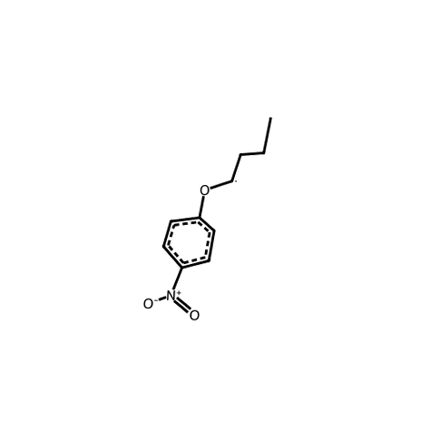 CCC[CH]Oc1ccc([N+](=O)[O-])cc1